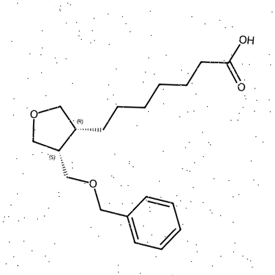 O=C(O)CCCCCC[C@H]1COC[C@H]1COCc1ccccc1